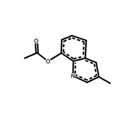 CC(=O)Oc1cccc2cc(C)cnc12